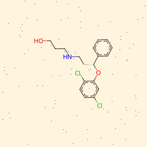 OCCCNCC[C@@H](Oc1cc(Cl)ccc1Cl)c1ccccc1